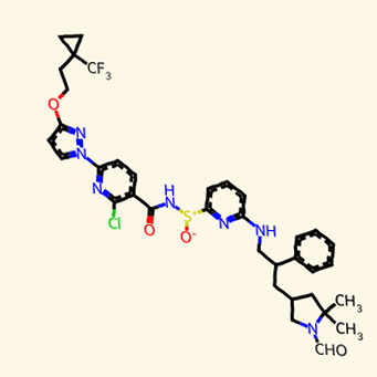 CC1(C)CC(CC(CNc2cccc([S+]([O-])NC(=O)c3ccc(-n4ccc(OCCC5(C(F)(F)F)CC5)n4)nc3Cl)n2)c2ccccc2)CN1C=O